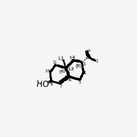 C=C(C)[C@@H]1CCC2=CC(O)CC[C@]2(C)C1